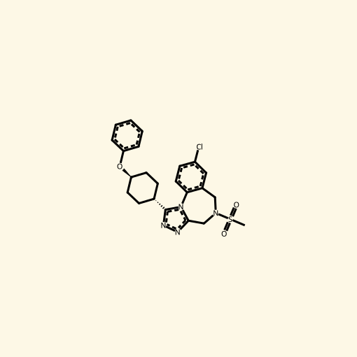 CS(=O)(=O)N1Cc2cc(Cl)ccc2-n2c(nnc2[C@H]2CC[C@H](Oc3ccccc3)CC2)C1